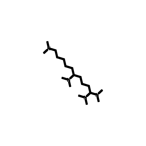 CN(C)CCCCCC(CCCC(N(C)C)N(C)C)N(C)C